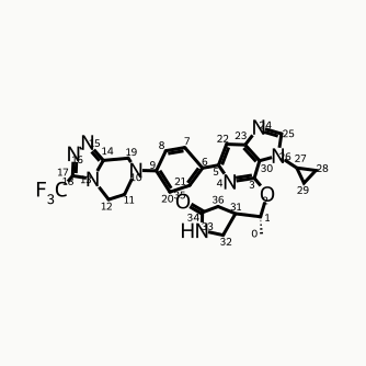 C[C@@H](Oc1nc(-c2ccc(N3CCn4c(nnc4C(F)(F)F)C3)cc2)cc2ncn(C3CC3)c12)C1CNC(=O)C1